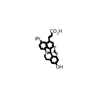 CC(C)c1ccc(N2CCc3cc(O)ccc3[C@@]2(c2ccc(/C=C/C(=O)O)cc2)C(F)F)cc1